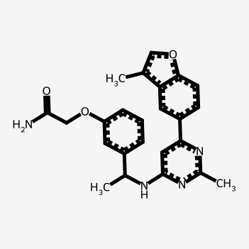 Cc1nc(NC(C)c2cccc(OCC(N)=O)c2)cc(-c2ccc3occ(C)c3c2)n1